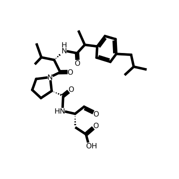 CC(C)Cc1ccc(C(C)C(=O)N[C@H](C(=O)N2CCC[C@H]2C(=O)N[C@H](C=O)CC(=O)O)C(C)C)cc1